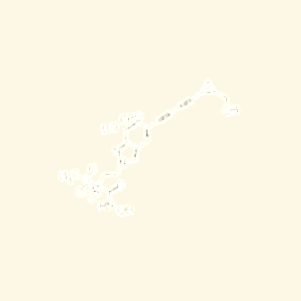 CC(CCn1cc2cc(C#CC#CC3C[C@H]3CO)ccc2n1)(C(=O)NO)S(C)(=O)=O.O=CO